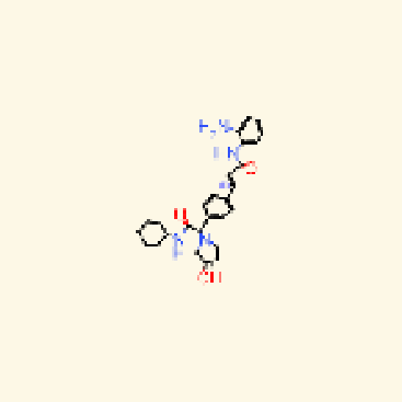 Nc1ccccc1NC(=O)/C=C/c1ccc(C(C(=O)NC2CCCCC2)N2CC[C@H](O)C2)cc1